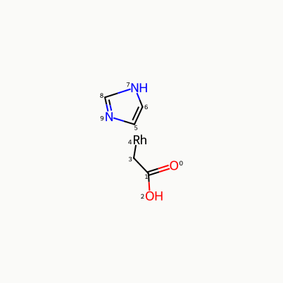 O=C(O)[CH2][Rh].c1c[nH]cn1